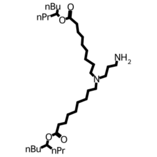 CCCCC(CCC)OC(=O)CCCCCCCCN(CCCN)CCCCCCCCC(=O)OC(CCC)CCCC